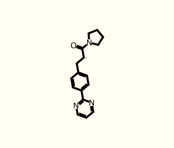 O=C([CH]Cc1ccc(-c2ncccn2)cc1)N1CCCC1